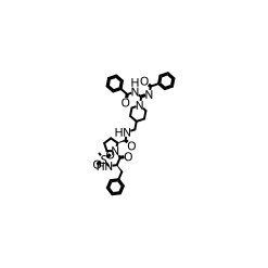 CS(=O)(=O)N[C@H](Cc1ccccc1)C(=O)N1CCC[C@H]1C(=O)NCC1CCN(/C(=N/C(=O)c2ccccc2)NC(=O)c2ccccc2)CC1